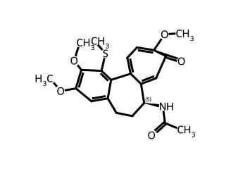 COc1cc2c(c(SC)c1OC)-c1ccc(OC)c(=O)cc1[C@@H](NC(C)=O)CC2